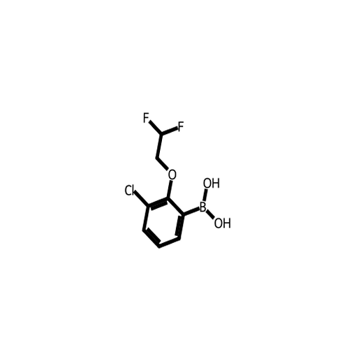 OB(O)c1cccc(Cl)c1OCC(F)F